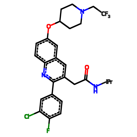 CC(C)NC(=O)Cc1cc2cc(OC3CCN(CC(F)(F)F)CC3)ccc2nc1-c1ccc(F)c(Cl)c1